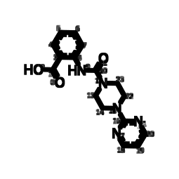 O=C(O)c1ccccc1NC(=O)N1CCN(c2ncccn2)CC1